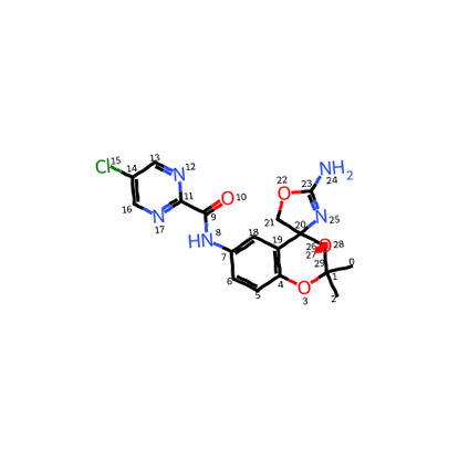 CC1(C)Oc2ccc(NC(=O)c3ncc(Cl)cn3)cc2C2(COC(N)=N2)C12COC2